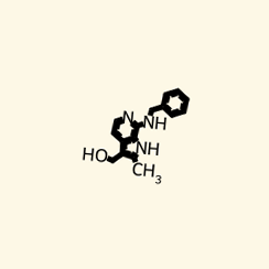 Cc1[nH]c2c(NCc3ccccc3)nccc2c1CO